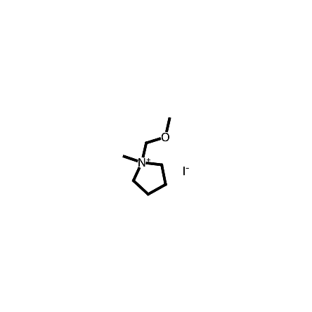 COC[N+]1(C)CCCC1.[I-]